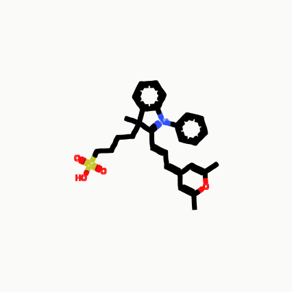 CC1=CC(=C/C=C/C2=[N+](c3ccccc3)c3ccccc3C2(C)CCCCS(=O)(=O)O)C=C(C)O1